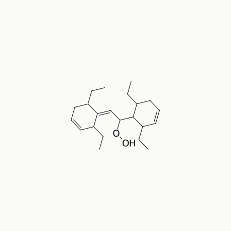 CCC1C=CCC(CC)C1=CC(OO)C1C(CC)C=CCC1CC